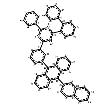 c1ccc(-c2nc(-c3cccc(-c4c5ccccc5c(-c5ccc6ccccc6c5)c5ccccc45)c3)nc(-c3ccccc3-c3ccccc3)n2)cc1